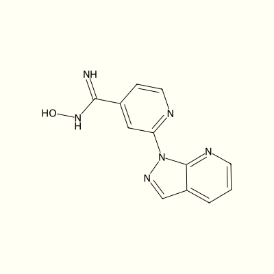 N=C(NO)c1ccnc(-n2ncc3cccnc32)c1